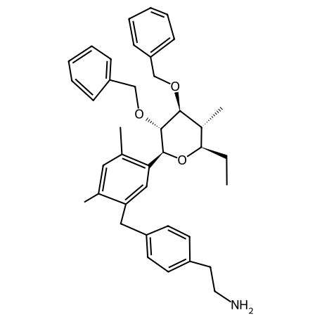 CC[C@H]1O[C@@H](c2cc(Cc3ccc(CCN)cc3)c(C)cc2C)[C@H](OCc2ccccc2)[C@@H](OCc2ccccc2)[C@@H]1C